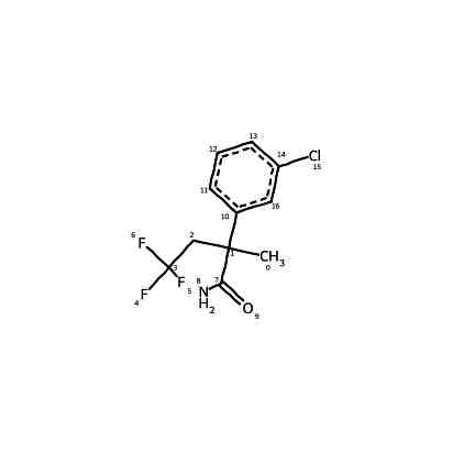 CC(CC(F)(F)F)(C(N)=O)c1cccc(Cl)c1